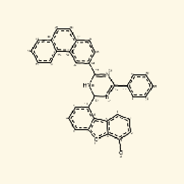 Clc1cccc2c1oc1cccc(C3N=C(c4ccccc4)N=C(c4ccc5ccc6ccccc6c5c4)N3)c12